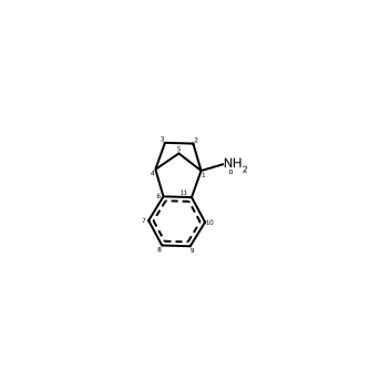 NC12CCC(C1)c1ccccc12